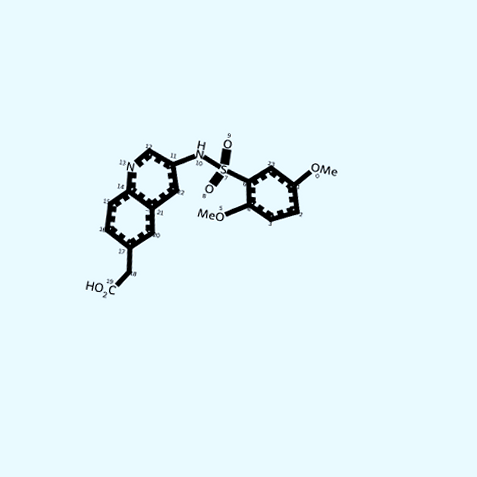 COc1ccc(OC)c(S(=O)(=O)Nc2cnc3ccc(CC(=O)O)cc3c2)c1